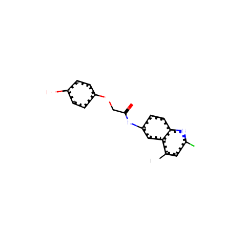 Cc1cc(Cl)nc2ccc(NC(=O)COc3ccc(O)cc3)cc12